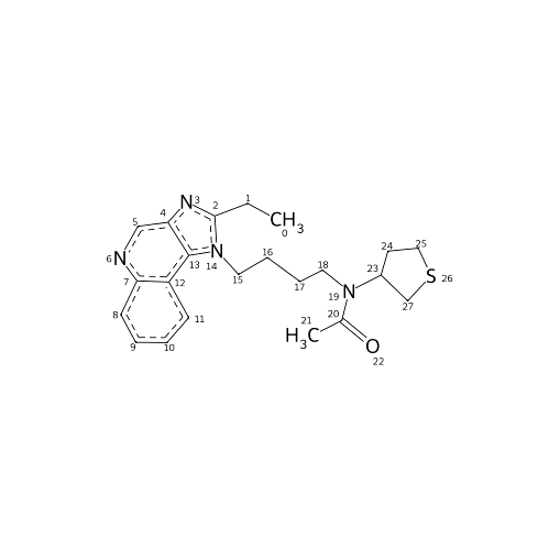 CCc1nc2cnc3ccccc3c2n1CCCCN(C(C)=O)C1CCSC1